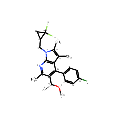 CC(=O)[C@@H](OC(C)(C)C)c1c(C)nc2c(c(C)c(C)n2CC2CC2(F)F)c1-c1ccc(Cl)cc1